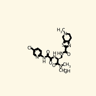 CN1CCc2nc(C(=O)NC[C@H](NC(=O)C(=O)Nc3ccc(Cl)cn3)C(=O)N(C)C)sc2C1.Cl